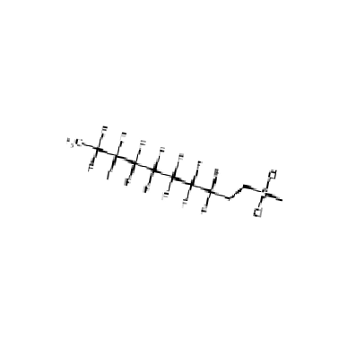 CS(Cl)(Cl)CCC(F)(F)C(F)(F)C(F)(F)C(F)(F)C(F)(F)C(F)(F)C(F)(F)C(F)(F)F